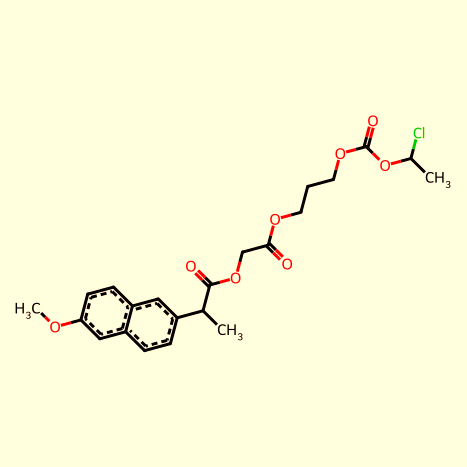 COc1ccc2cc(C(C)C(=O)OCC(=O)OCCCOC(=O)OC(C)Cl)ccc2c1